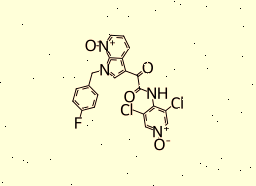 O=C(Nc1c(Cl)c[n+]([O-])cc1Cl)C(=O)c1cn(Cc2ccc(F)cc2)c2c1ccc[n+]2[O-]